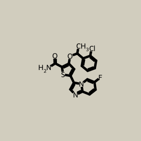 CC(Oc1cc(-c2cnc3ccc(F)cn23)sc1C(N)=O)c1ccccc1Cl